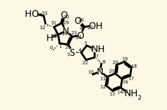 C[C@H]1C(S[C@@H]2CN[C@H](CN(C)c3ccc(N)c4ccccc34)C2)=C(OC(=O)O)N2C(=O)[C@@H](CCO)[C@@H]12